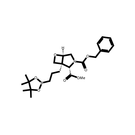 COC(=O)[C@H]1N(C(=O)OCc2ccccc2)C[C@@H]2OC[C@@]21CCCB1OC(C)(C)C(C)(C)O1